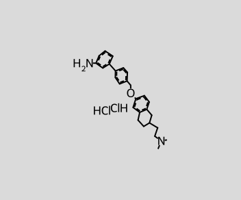 CN(C)CCC1CCc2cc(OCc3ccc(-c4cccc(N)c4)cc3)ccc2C1.Cl.Cl